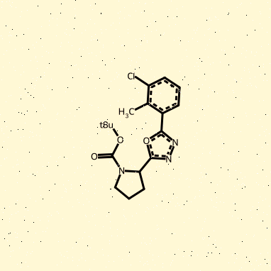 Cc1c(Cl)cccc1-c1nnc(C2CCCN2C(=O)OC(C)(C)C)o1